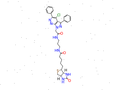 O=C(CCCCC1SC[C@@H]2NC(=O)N[C@H]12)NCCCNC(=O)Cn1nc(-c2ccccc2)c2c(Cl)c(-c3ccccc3)nnc21